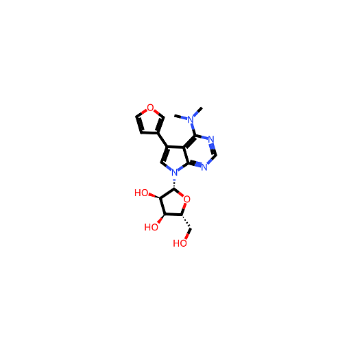 CN(C)c1ncnc2c1c(-c1ccoc1)cn2[C@@H]1O[C@H](CO)[C@@H](O)[C@H]1O